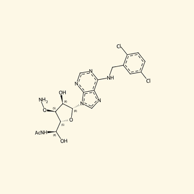 CC(=O)N[C@H](O)[C@H]1O[C@@H](n2cnc3c(NCc4cc(Cl)ccc4Cl)ncnc32)[C@H](O)[C@@H]1ON